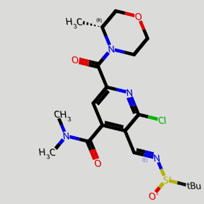 C[C@@H]1COCCN1C(=O)c1cc(C(=O)N(C)C)c(/C=N/[S+]([O-])C(C)(C)C)c(Cl)n1